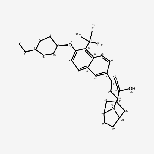 CC[C@H]1CC[C@@H](Oc2ccc3cc(CCCN4C5CCC4CC(C(=O)O)C5)ccc3c2C(F)(F)F)CC1